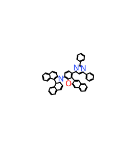 C1=CC2C(c3ccccc31)c1c(ccc3ccccc13)N2c1ccc(-c2cc(-c3ccccc3)nc(-c3ccccc3)n2)c2c1oc1cc3ccccc3cc12